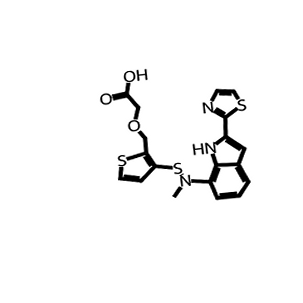 CN(Sc1ccsc1COCC(=O)O)c1cccc2cc(-c3nccs3)[nH]c12